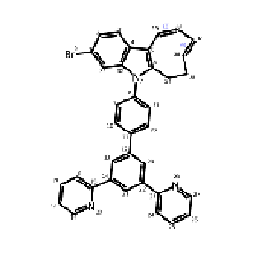 Brc1ccc2c3c(n(-c4ccc(-c5cc(-c6ccccn6)cc(-c6ccccn6)c5)cc4)c2c1)CC/C=C/C=C\3